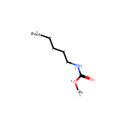 CCCC(C)CCCCNC(=O)OC(C)C